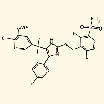 COc1cc(C(C)(C)c2[nH]c(SCc3c(F)ccc(S(N)(=O)=O)c3F)nc2-c2ccc(F)cc2)ccc1Cl